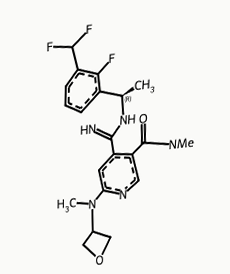 CNC(=O)c1cnc(N(C)C2COC2)cc1C(=N)N[C@H](C)c1cccc(C(F)F)c1F